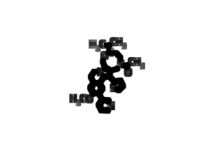 COc1cc2c(cc1-c1cccnc1)-c1c(-c3cccs3)c3c(n1CC2)CON(C(C)C)CCN(C(C)=O)C3